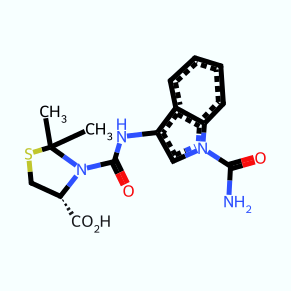 CC1(C)SC[C@@H](C(=O)O)N1C(=O)Nc1cn(C(N)=O)c2ccccc12